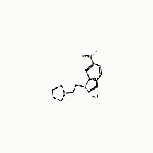 Cl.O=[N+]([O-])c1ccc2ccn(CCN3CCCC3)c2c1